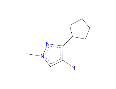 Cn1cc(I)c(C2CCCC2)n1